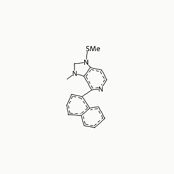 CSN1CN(C)c2c1ccnc2-c1cccc2ccccc12